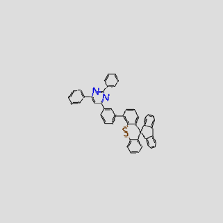 c1ccc(-c2cc(-c3cccc(-c4cccc5c4Sc4ccccc4C54c5ccccc5-c5ccccc54)c3)nc(-c3ccccc3)n2)cc1